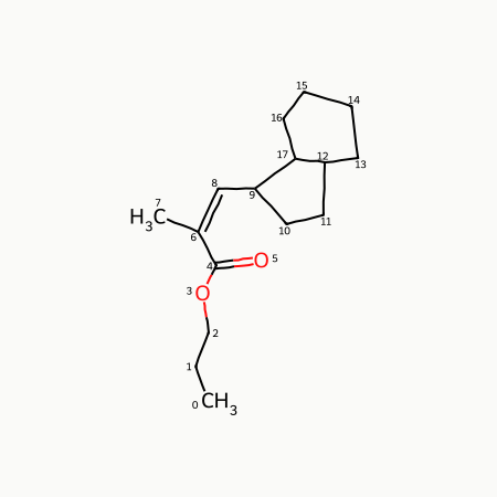 CCCOC(=O)C(C)=CC1CCC2CCCCC12